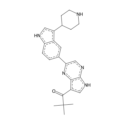 CC(C)(C)C(=O)c1c[nH]c2ncc(-c3ccc4[nH]cc(C5CCNCC5)c4c3)nc12